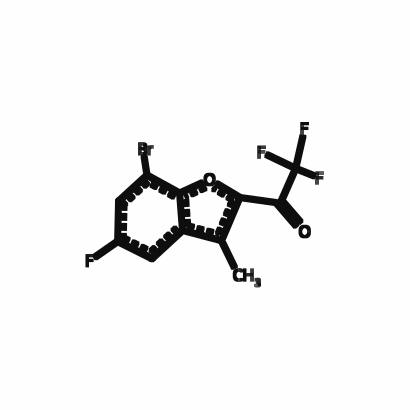 Cc1c(C(=O)C(F)(F)F)oc2c(Br)cc(F)cc12